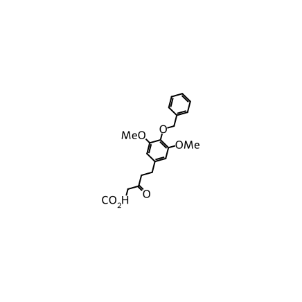 COc1cc(CCC(=O)CC(=O)O)cc(OC)c1OCc1ccccc1